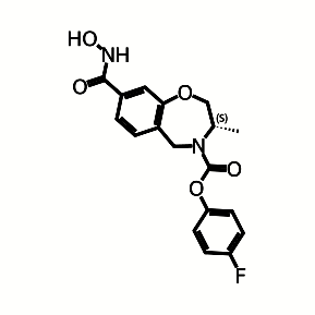 C[C@H]1COc2cc(C(=O)NO)ccc2CN1C(=O)Oc1ccc(F)cc1